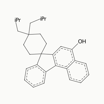 CC(C)CC1(CC(C)C)CCC2(CC1)c1ccccc1-c1c2cc(O)c2ccccc12